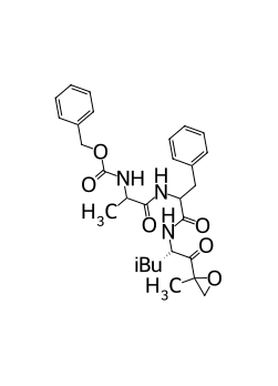 CC[C@@H](C)C(NC(=O)C(Cc1ccccc1)NC(=O)C(C)NC(=O)OCc1ccccc1)C(=O)C1(C)CO1